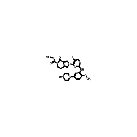 CN1CCN(c2ccc(OC(F)(F)F)c(Nc3ncc(F)c(-n4cc5c(c4)C(=O)N(C(=O)OC(C)(C)C)CC5)n3)c2)CC1